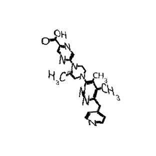 Cc1c(Cc2ccncc2)nnc(N2CCN(c3cnc(C(=O)O)cn3)[C@H](C)C2)c1C